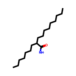 CCCCCCCCCC(CCCCCCC)C([NH])=O